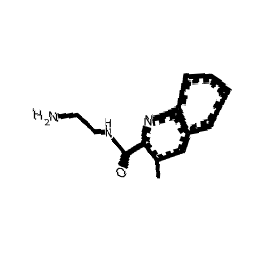 Cc1cc2ccccc2nc1C(=O)NCCN